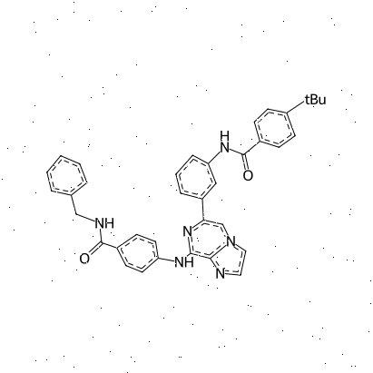 CC(C)(C)c1ccc(C(=O)Nc2cccc(-c3cn4ccnc4c(Nc4ccc(C(=O)NCc5ccccc5)cc4)n3)c2)cc1